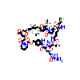 CC(=O)O[C@@H](C)/C=C\C(=O)N[C@@H]1C[C@H](C)[C@H](C/C=C(C)/C=C/[C@@H]2C[C@]3(CO3)C[C@@H](CC(=O)N3CCCCN3C(=O)OCc3ccc(NC(=O)[C@H](CCCNC(N)=O)NC(=O)[C@@H](NC(=O)CCCCCNC(=O)CBr)C(C)C)cc3)O2)O[C@@H]1C